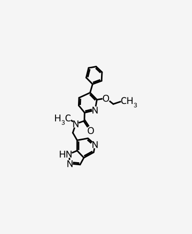 CCOc1nc(C(=O)N(C)Cc2cncc3cn[nH]c23)ccc1-c1ccccc1